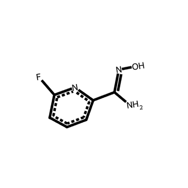 NC(=NO)c1cccc(F)n1